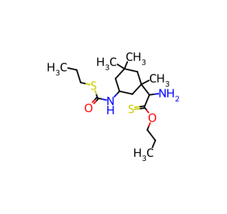 CCCOC(=S)C(N)C1(C)CC(NC(=O)SCCC)CC(C)(C)C1